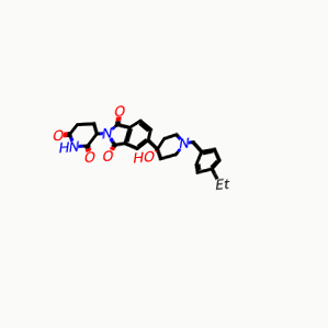 CCc1ccc(CN2CCC(O)(c3ccc4c(c3)C(=O)N(C3CCC(=O)NC3=O)C4=O)CC2)cc1